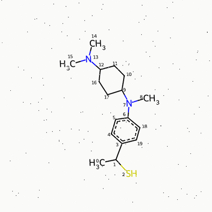 CC(S)c1ccc(N(C)C2CCC(N(C)C)CC2)cc1